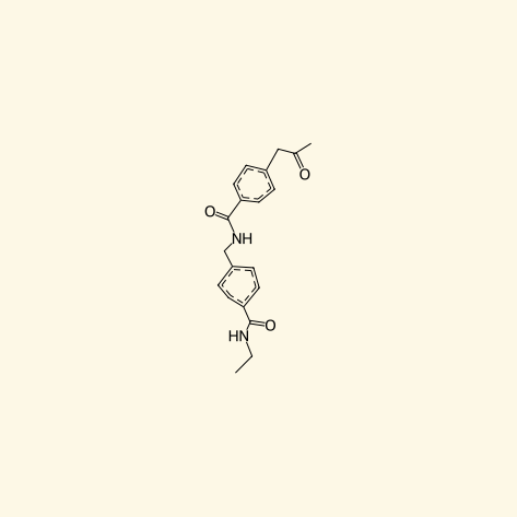 CCNC(=O)c1ccc(CNC(=O)c2ccc(CC(C)=O)cc2)cc1